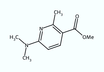 COC(=O)c1ccc(N(C)C)nc1C